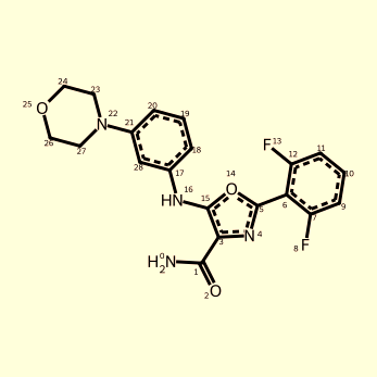 NC(=O)c1nc(-c2c(F)cccc2F)oc1Nc1cccc(N2CCOCC2)c1